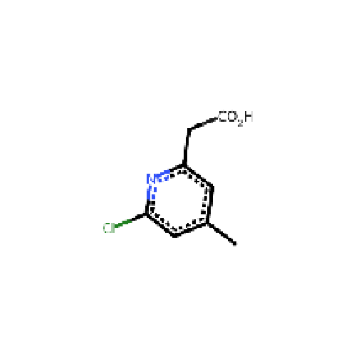 Cc1cc(Cl)nc(CC(=O)O)c1